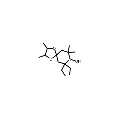 CCC1(CC)CC2(CC(C)(C)N1O)OC(C)C(C)O2